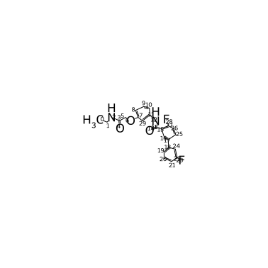 CCNC(=O)COc1cccc(NC(=O)c2cc(-c3cccc(F)c3)ccc2F)c1